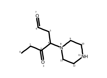 CCC(=O)C(CC=O)N1CCNCC1